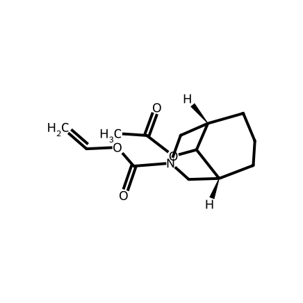 C=COC(=O)N1C[C@H]2CCC[C@@H](C1)C2OC(C)=O